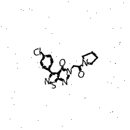 O=C(Cn1cnc2snc(-c3ccc(Cl)cc3)c2c1=O)N1CCCC1